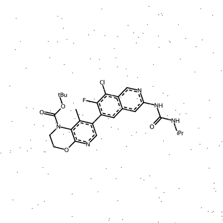 Cc1c(-c2cc3cc(NC(=O)NC(C)C)ncc3c(Cl)c2F)cnc2c1N(C(=O)OC(C)(C)C)CCO2